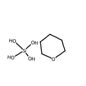 C1CCOCC1.O[Si](O)(O)O